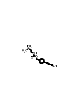 C#CC#Cc1ccc(COC(=O)NCCN(C)C)cc1